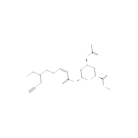 C#CCC(CC)CC/C=C\C(=C)O[C@H]1C[C@@H](OC(C)=O)C[C@@H](C(=O)OC)O1